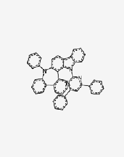 c1ccc(-c2cc(-c3ccccc3)nc(-n3c4ccccc4c4ccc5c(c43)-c3ccccc3-c3ccccc3N5c3ccccc3)n2)cc1